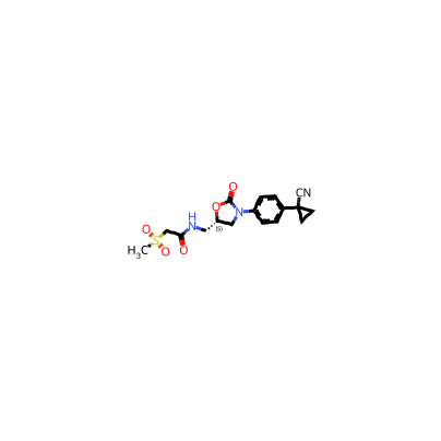 CS(=O)(=O)CC(=O)NC[C@H]1CN(c2ccc(C3(C#N)CC3)cc2)C(=O)O1